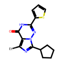 CCc1nc(C2CCCC2)n2nc(-c3cccs3)[nH]c(=O)c12